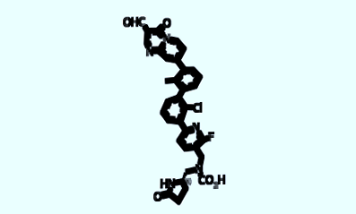 Cc1c(-c2ccn3c(=O)c(C=O)cnc3c2)cccc1-c1cccc(-c2ccc(CN(C[C@@H]3CCC(=O)N3)C(=O)O)c(F)n2)c1Cl